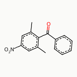 Cc1cc([N+](=O)[O-])cc(C)c1C(=O)c1ccccc1